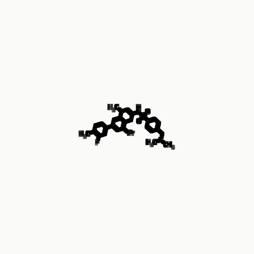 Cc1ccc(-c2cc(C(C)C)c3c(c2)C(C)C=C(NS(=O)(=O)c2ccc(CN(C)C)cc2)C3)cc1F